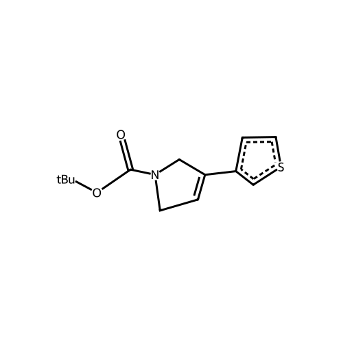 CC(C)(C)OC(=O)N1CC=C(c2ccsc2)C1